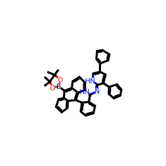 CC1(C)OB(c2c3ccccc3c(-c3ccccc3C(=N)/N=c3\[nH]cc(-c4ccccc4)cc3-c3ccccc3)c3ccccc23)OC1(C)C